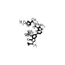 CC(C1CC1)N1Cc2cc(-c3ccn4nc(N)c(C(=O)N[C@H](C)c5cnn(C)c5)c4n3)cc(NS(C)(=O)=O)c2C1=O